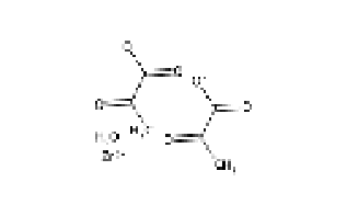 CC(=O)C(=O)[O-].CC(=O)C(=O)[O-].O.[Zn+2]